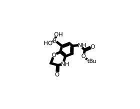 CC(C)(C)OC(=O)Nc1cc2c(c(B(O)O)c1)OCC(=O)N2